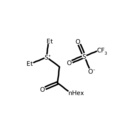 CCCCCCC(=O)C[S+](CC)CC.O=S(=O)([O-])C(F)(F)F